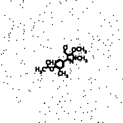 COc1c(C=O)c(-c2ccc(OC(C)C)c(C)c2)nn1C